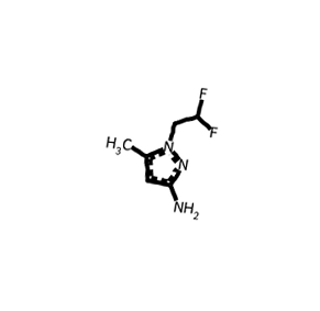 Cc1cc(N)nn1CC(F)F